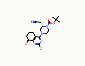 CC(C)(C)OC(=O)N1CCN(c2nc(Cl)nc3c2CCCC3=O)C[C@@H]1CC#N